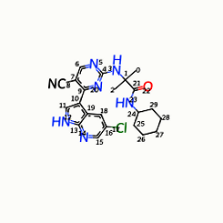 CC(C)(Nc1ncc(C#N)c(-c2c[nH]c3ncc(Cl)cc23)n1)C(=O)NC1CCCCC1